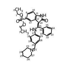 CCOP(=O)(OCC)c1ccc2c(c1)C(=C(Nc1ccc(CN3CCCCC3)cc1)c1ccccc1)C(=O)N2